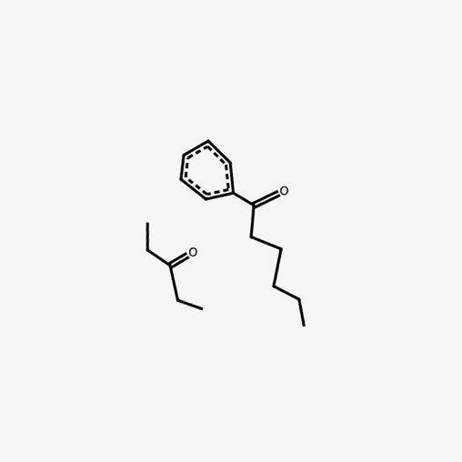 CCC(=O)CC.CCCCCC(=O)c1ccccc1